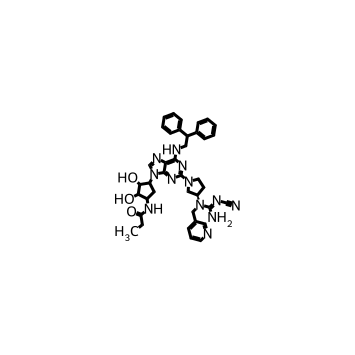 CCC(=O)NC1CC(n2cnc3c(NCC(c4ccccc4)c4ccccc4)nc(N4CC[C@@H](N(Cc5cccnc5)C(N)=NC#N)C4)nc32)C(O)C1O